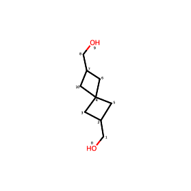 OCC1CC2(C1)CC(CO)C2